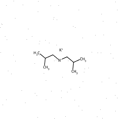 CC(C)C[N-]CC(C)C.[K+]